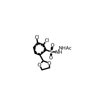 CC(=O)NNS(=O)(=O)c1c(C2OCCO2)ccc(Cl)c1Cl